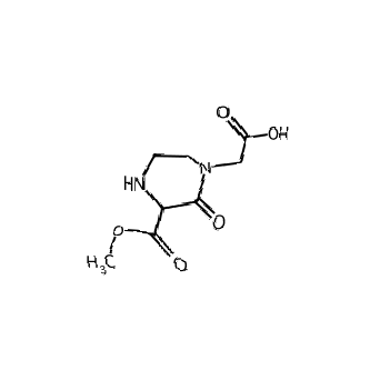 COC(=O)C1NCCN(CC(=O)O)C1=O